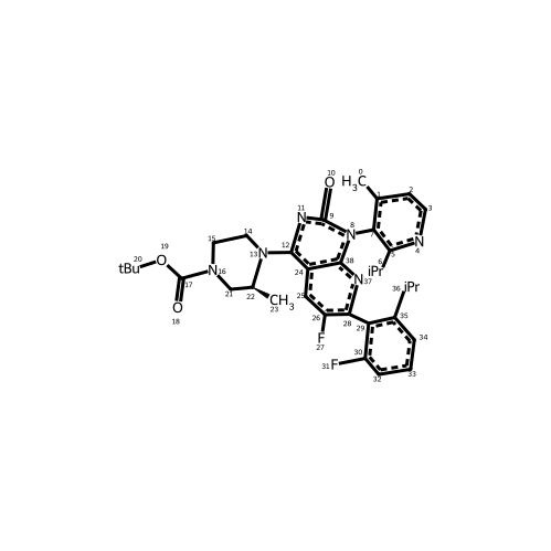 Cc1ccnc(C(C)C)c1-n1c(=O)nc(N2CCN(C(=O)OC(C)(C)C)C[C@@H]2C)c2cc(F)c(-c3c(F)cccc3C(C)C)nc21